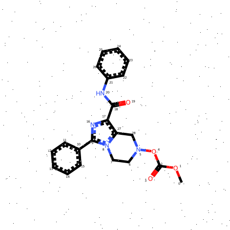 COC(=O)ON1CCn2c(-c3ccccc3)nc(C(=O)Nc3ccccc3)c2C1